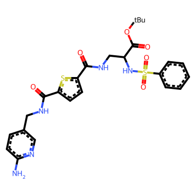 CC(C)(C)OC(=O)C(CNC(=O)c1ccc(C(=O)NCc2ccc(N)nc2)s1)NS(=O)(=O)c1ccccc1